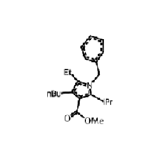 CCCCc1c(C(=O)OC)c(C(C)C)n(Cc2ccccc2)c1CC